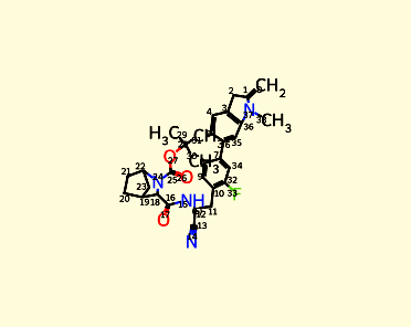 C=C1Cc2ccc(-c3ccc(C[C@@H](C#N)NC(=O)C4C5CCC(C5)N4C(=O)OC(C)(C)C)c(F)c3)cc2N1C